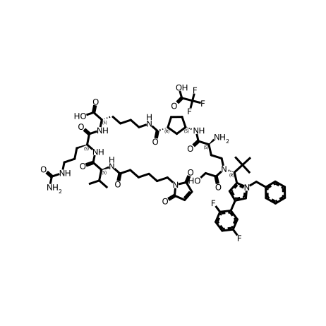 CC(C)[C@H](NC(=O)CCCCCN1C(=O)C=CC1=O)C(=O)N[C@@H](CCCNC(N)=O)C(=O)N[C@@H](CCCCNC(=O)[C@@H]1CC[C@H](NC(=O)[C@@H](N)CCN(C(=O)CO)[C@@H](c2cc(-c3cc(F)ccc3F)cn2Cc2ccccc2)C(C)(C)C)C1)C(=O)O.O=C(O)C(F)(F)F